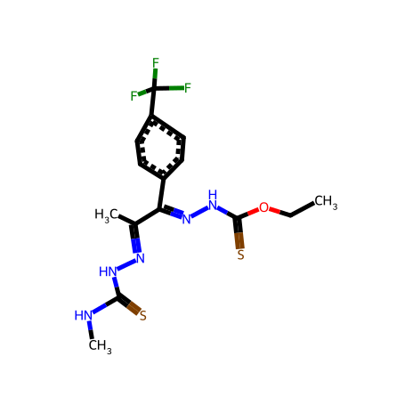 CCOC(=S)N/N=C(/C(C)=N/NC(=S)NC)c1ccc(C(F)(F)F)cc1